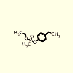 CCOP(C)(=O)Oc1ccc(CC)cc1